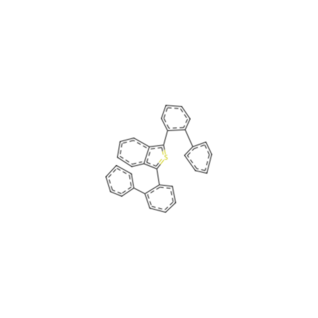 c1ccc(-c2ccccc2-c2sc(-c3ccccc3-c3ccccc3)c3ccccc23)cc1